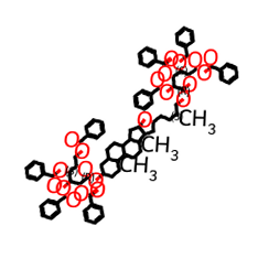 C[C@@H](CCC1CC2C(CC3C4CCC5CC(O[C@@H]6OC(COC(=O)c7ccccc7)[C@H](OC(=O)c7ccccc7)C(OC(=O)c7ccccc7)C6OC(=O)c6ccccc6)CCC5(C)C4CCC23C)O1)CO[C@@H]1OC(COC(=O)c2ccccc2)[C@H](OC(=O)c2ccccc2)C(OC(=O)c2ccccc2)C1OC(=O)c1ccccc1